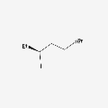 CCCCC[C@@H](I)CC